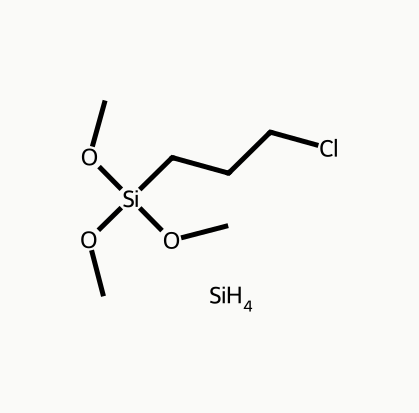 CO[Si](CCCCl)(OC)OC.[SiH4]